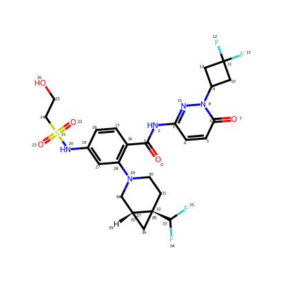 O=C(Nc1ccc(=O)n(C2CC(F)(F)C2)n1)c1ccc(NS(=O)(=O)CCO)cc1N1CC[C@]2(C(F)F)C[C@@H]2C1